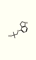 CC(C)(O)COc1cccc2c1CCN2